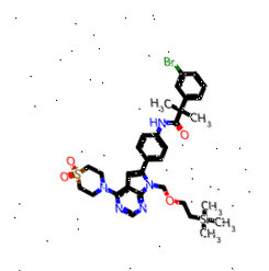 CC(C)(C(=O)Nc1ccc(-c2cc3c(N4CCS(=O)(=O)CC4)ncnc3n2COCC[Si](C)(C)C)cc1)c1cccc(Br)c1